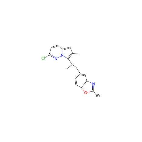 Cc1cc2ccc(Cl)nn2c1C(C)CC1=CC2N=C(C(C)C)OC2C=C1